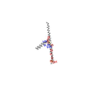 CCCCCCCCCCCCOC[C@H](CSC[C@H](N)C(=O)NCCOCCOCCOCCP(C)(=O)O)OC(=O)NCCCCCCCCCC